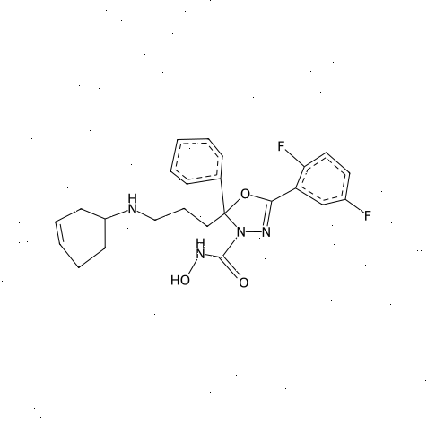 O=C(NO)N1N=C(c2cc(F)ccc2F)OC1(CCCNC1CC=CCC1)c1ccccc1